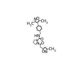 Cc1cc(CC(=O)N2CCC[C@H]2C(=O)NCc2ccc(-c3c(C)noc3C)cc2)on1